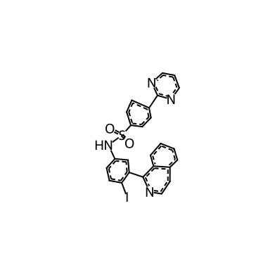 O=S(=O)(Nc1ccc(I)c(-c2nccc3ccccc23)c1)c1ccc(-c2ncccn2)cc1